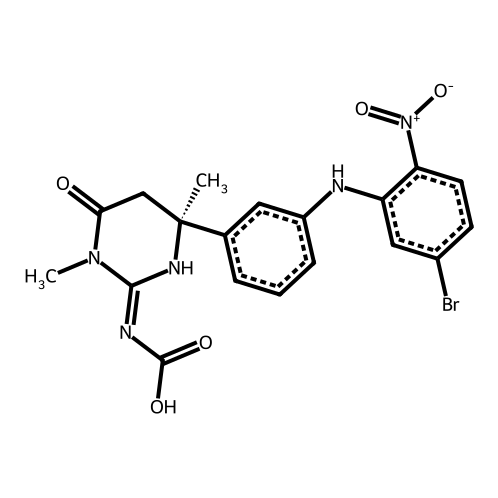 CN1C(=O)C[C@@](C)(c2cccc(Nc3cc(Br)ccc3[N+](=O)[O-])c2)N/C1=N\C(=O)O